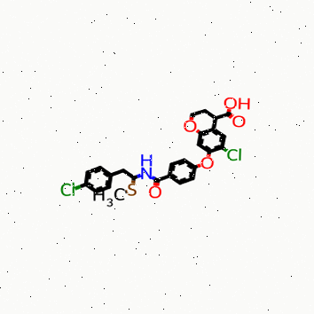 CSC(Cc1ccc(Cl)cc1)NC(=O)c1ccc(Oc2cc3c(cc2Cl)C(C(=O)O)CCO3)cc1